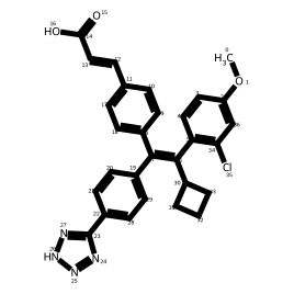 COc1ccc(/C(=C(\c2ccc(/C=C/C(=O)O)cc2)c2ccc(-c3nn[nH]n3)cc2)C2CCC2)c(Cl)c1